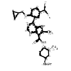 CC(=O)N[C@H]1CC[C@H](NC(=O)c2c(C)[nH]c3c(-c4cc(C(F)F)ccc4OCC4CC4)ncnc23)[C@H](C)C1